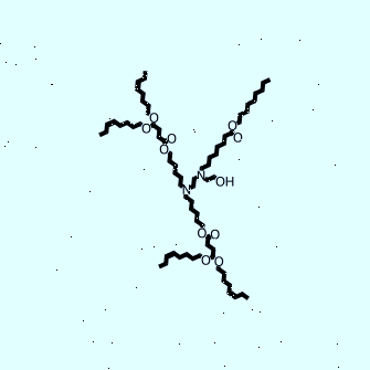 CC/C=C\CCCCOC(CCC(=O)OCCCCCCN(CCCCCCOC(=O)CCC(OCCCC/C=C\CC)OCCCC/C=C\CC)CCN(CCO)CCCCCCCC(=O)OCCCCCCCCC)OCCCC/C=C\CC